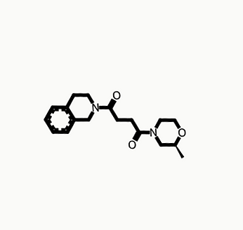 C[C@H]1CN(C(=O)CCC(=O)N2CCc3ccccc3C2)CCO1